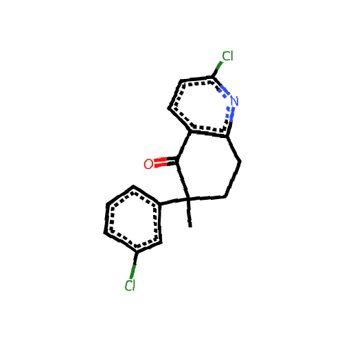 CC1(c2cccc(Cl)c2)CCc2nc(Cl)ccc2C1=O